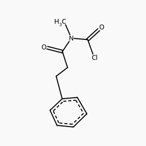 CN(C(=O)Cl)C(=O)CCc1ccccc1